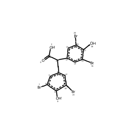 O=C(O)C(c1cc(Br)c(O)c(Br)c1)c1cc(Br)c(O)c(Br)c1